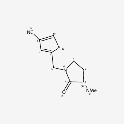 CN[C@H]1CCN(Cc2cc(C#N)cs2)C1=O